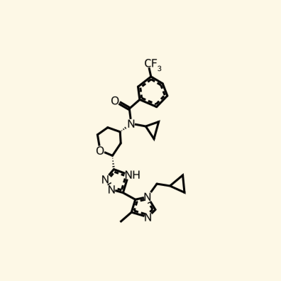 Cc1ncn(CC2CC2)c1-c1nnc([C@H]2C[C@@H](N(C(=O)c3cccc(C(F)(F)F)c3)C3CC3)CCO2)[nH]1